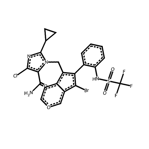 NC(=O)c1c(Cl)nc(C2CC2)n1Cc1c2ccocc-2c(Br)c1-c1ccccc1NS(=O)(=O)C(F)(F)F